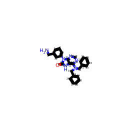 NCc1c[c]cc(-n2c(=O)[nH]c3c(N(Cc4ccccc4)Cc4ccccc4)ncnc32)c1